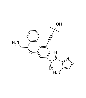 CCn1c(-c2nocc2N)nc2c(C#CC(C)(C)O)nc(OC(CN)c3ccccc3)cc21